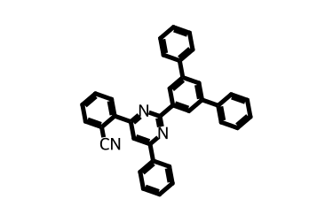 N#Cc1ccccc1-c1cc(-c2ccccc2)nc(-c2cc(-c3ccccc3)cc(-c3ccccc3)c2)n1